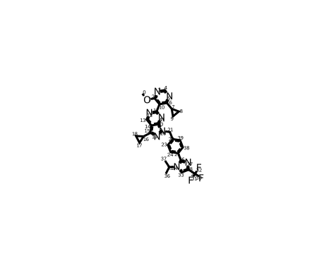 COc1ncnc(C2CC2)c1-c1ncc2c(C3CC3)nn(Cc3ccc(-c4nc(C(F)(F)F)cn4C(C)C)cc3)c2n1